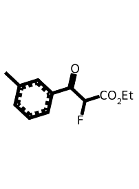 CCOC(=O)C(F)C(=O)c1cccc(C)c1